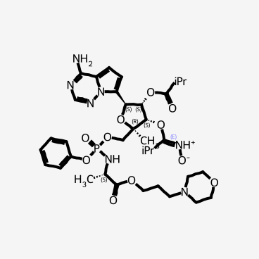 CC(C)C(=O)O[C@H]1[C@H](c2ccc3c(N)ncnn23)O[C@](C)(COP(=O)(N[C@@H](C)C(=O)OCCCN2CCOCC2)Oc2ccccc2)[C@H]1O/C(=[NH+]/[O-])C(C)C